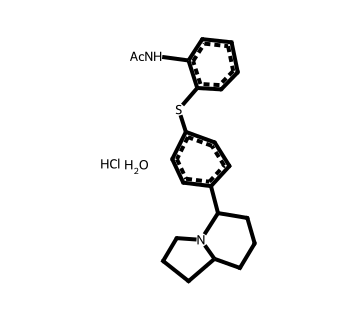 CC(=O)Nc1ccccc1Sc1ccc(C2CCCC3CCCN32)cc1.Cl.O